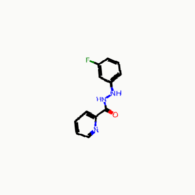 O=C(NNc1cccc(F)c1)c1ccccn1